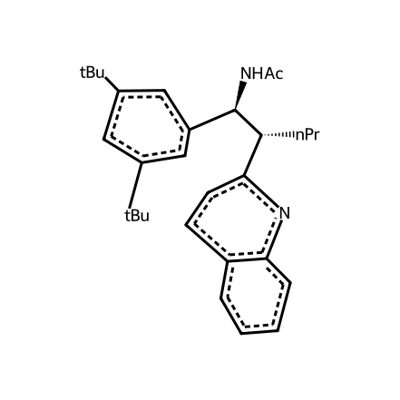 CCC[C@H](c1ccc2ccccc2n1)[C@H](NC(C)=O)c1cc(C(C)(C)C)cc(C(C)(C)C)c1